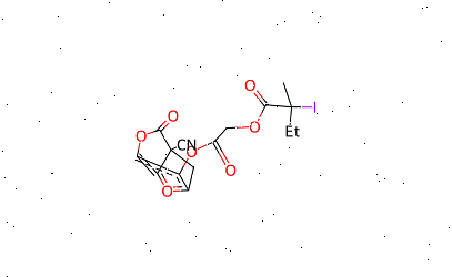 CCC(C)(I)C(=O)OCC(=O)Oc1c2oc3c1OC(=O)C3(C#N)C2